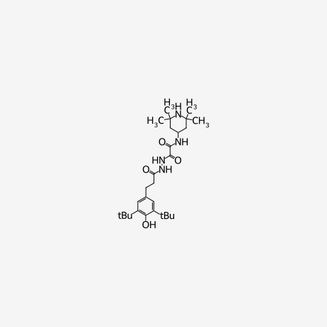 CC1(C)CC(NC(=O)C(=O)NNC(=O)CCc2cc(C(C)(C)C)c(O)c(C(C)(C)C)c2)CC(C)(C)N1